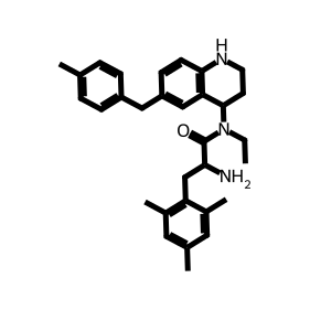 CCN(C(=O)C(N)Cc1c(C)cc(C)cc1C)C1CCNc2ccc(Cc3ccc(C)cc3)cc21